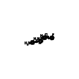 Nc1ccc(C#Cc2ncnc(Nc3ccc(OCc4cccc(F)c4)c(Cl)c3)c2N)cc1